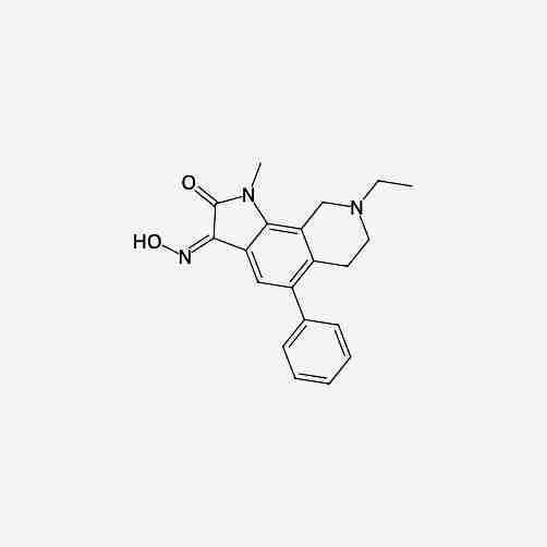 CCN1CCc2c(-c3ccccc3)cc3c(c2C1)N(C)C(=O)C3=NO